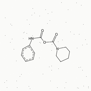 O=C(Nc1ccccc1)OC(=O)N1CCCCC1